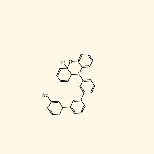 N#CC1=CC(c2cccc(-c3cccc(N4c5ccccc5O[C@H]5C=CC=CC54)c3)c2)CC=N1